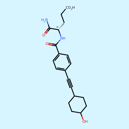 NC(=O)[C@H](CCC(=O)O)NC(=O)c1ccc(C#CC2CCC(O)CC2)cc1